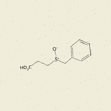 O=C(O)CC[S+]([O-])Cc1ccccc1